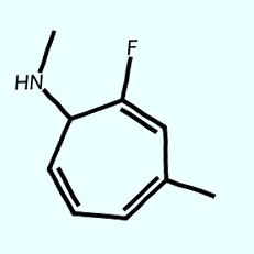 CNC1C=CC=C(C)C=C1F